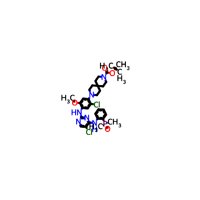 COc1cc(N2CCC3(CCN(C(=O)OC(C)(C)C)CC3)CC2)c(Cl)cc1Nc1ncc(Cl)c(Nc2ccccc2P(C)(C)=O)n1